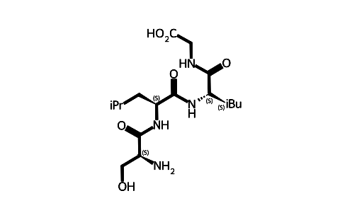 CC[C@H](C)[C@H](NC(=O)[C@H](CC(C)C)NC(=O)[C@@H](N)CO)C(=O)NCC(=O)O